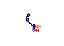 ON=Cc1nc(CCCCCN2CCN(Cc3ccccc3)CC2)ccc1O